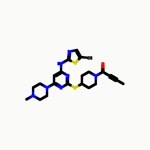 CC#CC(=O)N1CCC(Sc2nc(Nc3ncc(C#N)s3)cc(N3CCN(C)CC3)n2)CC1